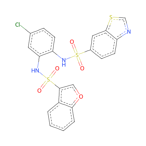 O=S(=O)(Nc1ccc(Cl)cc1NS(=O)(=O)c1coc2ccccc12)c1ccc2ncsc2c1